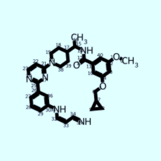 COc1cc(OCC2CC2)cc(C(=O)NC(C)C2CCN(c3ccnc(-c4cccc(N/C=C\C=N)c4)n3)CC2)c1